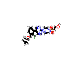 COCCS(=O)(=O)N1CCN(c2ncc(-c3cccc(CO[Si](C)(C)C(C)(C)C)c3F)cn2)CC1